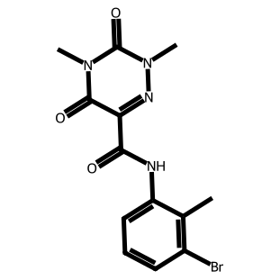 Cc1c(Br)cccc1NC(=O)c1nn(C)c(=O)n(C)c1=O